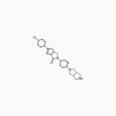 O=C1c2nn(-c3ccc(Cl)cc3)cc2CN1c1ccc(N2CC3CNCC3C2)nc1